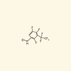 CCPc1cc(F)c(F)c(C(F)(F)C(F)(F)F)c1F